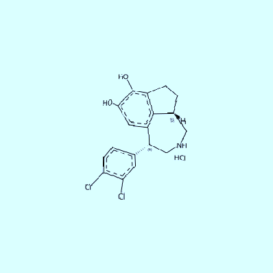 Cl.Oc1cc2c3c(c1O)CC[C@@H]3CNC[C@@H]2c1ccc(Cl)c(Cl)c1